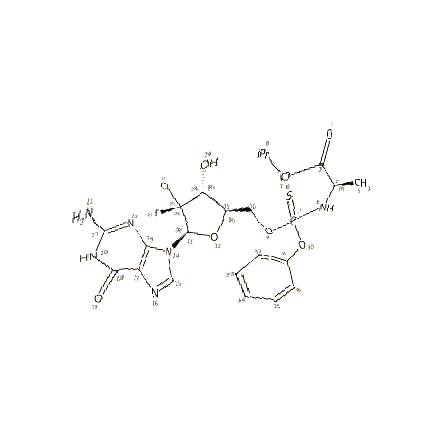 CC(C)OC(=O)[C@@H](C)NP(=S)(OC[C@H]1O[C@@H](n2cnc3c(=O)[nH]c(N)nc32)[C@](F)(Cl)[C@@H]1O)Oc1ccccc1